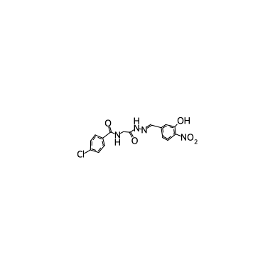 O=C(CNC(=O)c1ccc(Cl)cc1)N/N=C/c1ccc([N+](=O)[O-])c(O)c1